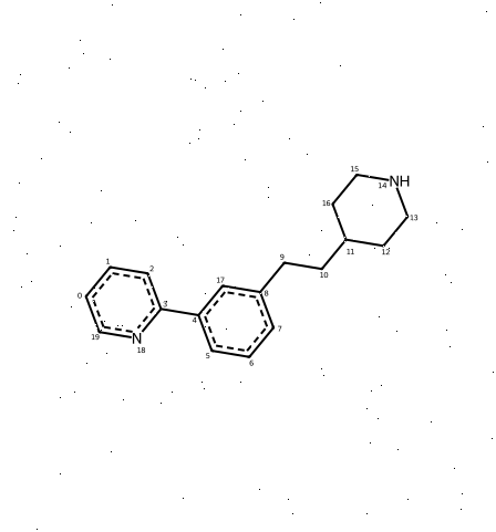 c1ccc(-c2cccc(CCC3CCNCC3)c2)nc1